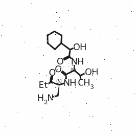 CCC(=O)[C@H](CN)NC(=O)[C@@H](NC(=O)C(O)C1CCCCC1)C(C)O